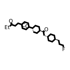 CCC(=O)CCC12CCC([C@H]3CC[C@H](C(=O)C[C@H]4CC[C@H](CCCF)CC4)CC3)(CC1)CC2